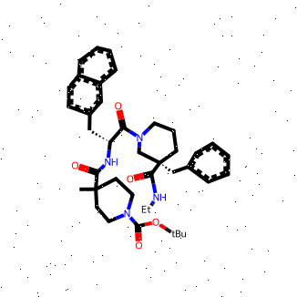 CCNC(=O)[C@]1(Cc2ccccc2)CCCN(C(=O)[C@@H](Cc2ccc3ccccc3c2)NC(=O)C2(C)CCN(C(=O)OC(C)(C)C)CC2)C1